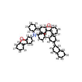 c1cc(-c2ccc(N(c3ccc4c(c3)oc3ccccc34)c3ccccc3-c3ccc4c(c3)oc3ccccc34)cc2)cc(-c2ccc3ccccc3c2)c1